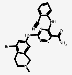 CN1CCc2c(Br)cc(Nc3nnc(C(N)=O)c(Nc4ccccc4C#N)n3)cc2C1